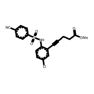 COC(=O)CCC#Cc1cc(Cl)ccc1NS(=O)(=O)c1ccc(C#N)cc1